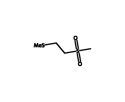 CSCCS(C)(=O)=O